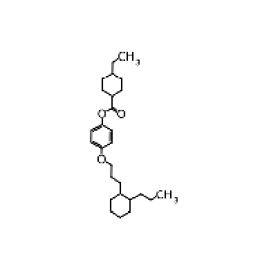 CCCC1CCCCC1CCCOc1ccc(OC(=O)C2CCC(CC)CC2)cc1